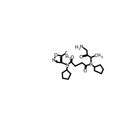 Cc1oncc1N(C(=O)CCC(=O)N(C1CCCC1)C(C)C(=O)CN)C1CCCC1